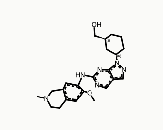 COc1cc2c(cc1Nc1ncc3cnn([C@@H]4CCC[C@H](CO)C4)c3n1)CN(C)CC2